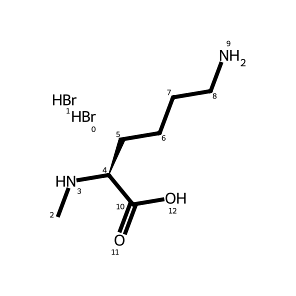 Br.Br.CN[C@@H](CCCCN)C(=O)O